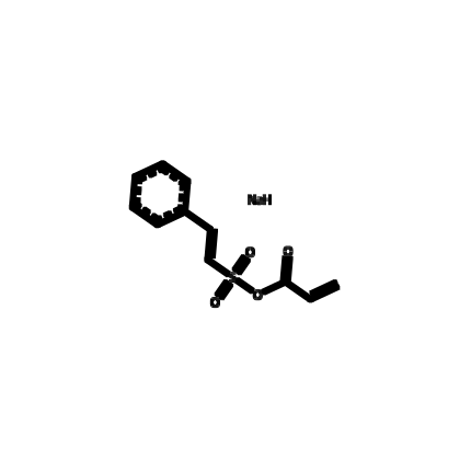 C=CC(=O)OS(=O)(=O)C=Cc1ccccc1.[NaH]